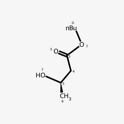 CCCCOC(=O)C[C@@H](C)O